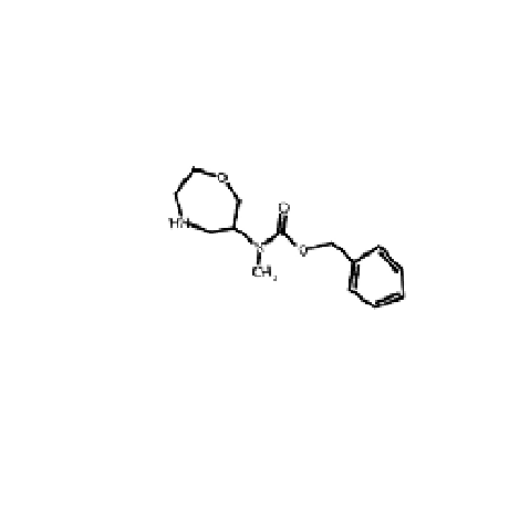 CN(C(=O)OCc1ccccc1)C1CNCCOC1